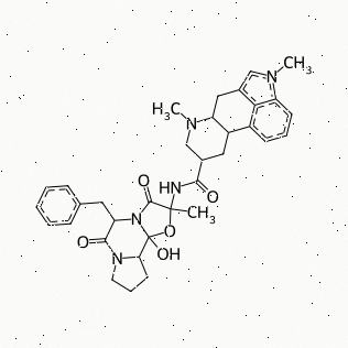 CN1CC(C(=O)NC2(C)OC3(O)C4CCCN4C(=O)C(Cc4ccccc4)N3C2=O)CC2c3cccc4c3c(cn4C)CC21